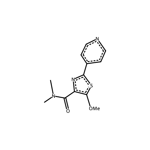 COc1sc(-c2ccncc2)nc1C(=O)N(C)C